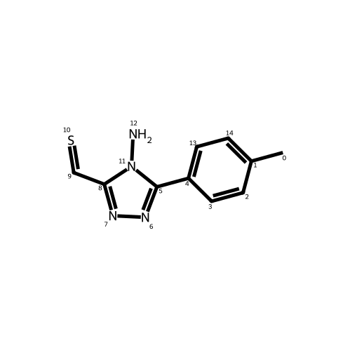 Cc1ccc(-c2nnc(C=S)n2N)cc1